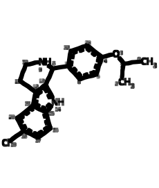 CC(C)Oc1ccc(C2NCCc3c2[nH]c2ccc(Cl)cc32)cc1